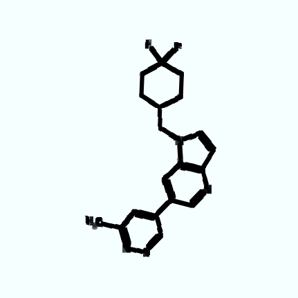 Cc1cc(-c2cnc3ccn(CC4CCC(F)(F)CC4)c3c2)cnn1